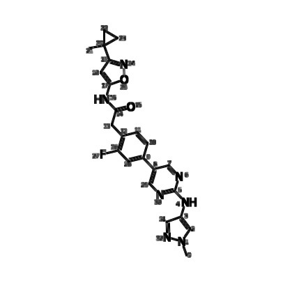 Cn1cc(Nc2ncc(-c3ccc(CC(=O)Nc4cc(C5(C)CC5)no4)c(F)c3)cn2)cn1